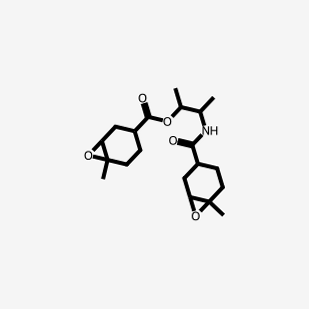 CC(NC(=O)C1CCC2(C)OC2C1)C(C)OC(=O)C1CCC2(C)OC2C1